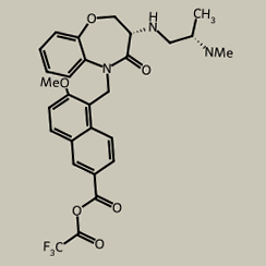 CN[C@@H](C)CN[C@H]1COc2ccccc2N(Cc2c(OC)ccc3cc(C(=O)OC(=O)C(F)(F)F)ccc23)C1=O